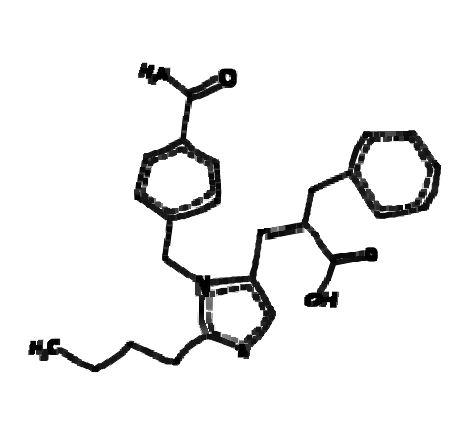 CCCCc1ncc(C=C(Cc2ccccc2)C(=O)O)n1Cc1ccc(C(N)=O)cc1